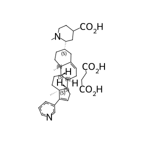 CN1CCC(C(=O)O)CC1[C@H]1CC[C@@]2(C)C(=CC[C@@H]3[C@@H]2CC[C@]2(C)C(c4cccnc4)=CC[C@@H]32)C1.O=C(O)CCC(=O)O